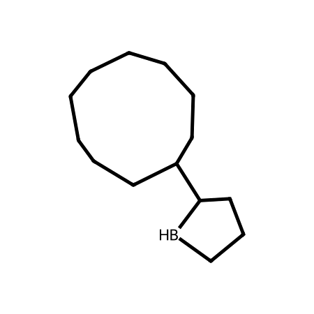 B1CCCC1C1CCCCCCCCC1